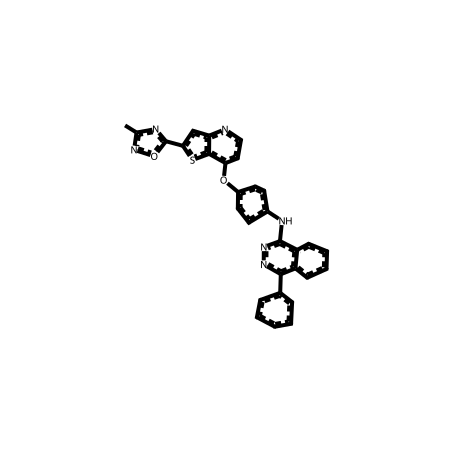 Cc1noc(-c2cc3nccc(Oc4ccc(Nc5nnc(-c6ccccc6)c6ccccc56)cc4)c3s2)n1